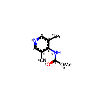 COC(=O)Nc1c(C#N)cncc1C(C)C